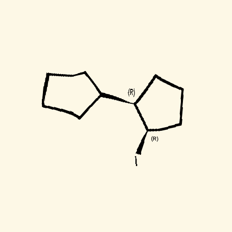 I[C@@H]1CCC[C@@H]1C1CCCC1